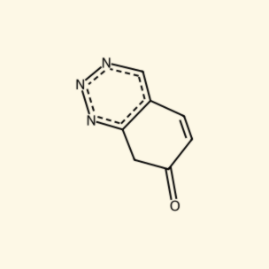 O=C1C=Cc2cnnnc2C1